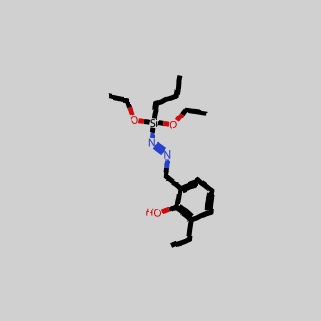 CCC[Si](/N=N/Cc1cccc(CC)c1O)(OCC)OCC